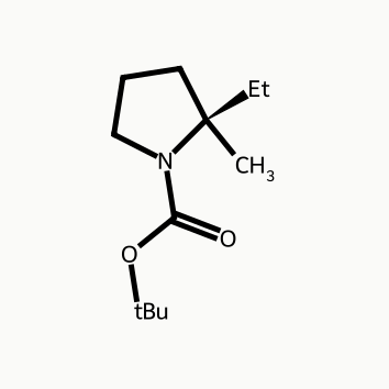 CC[C@]1(C)CCCN1C(=O)OC(C)(C)C